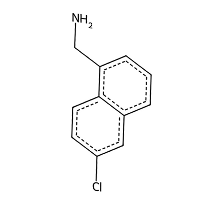 NCc1cccc2cc(Cl)ccc12